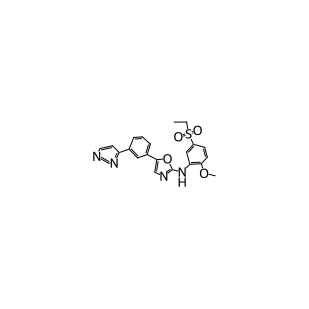 CCS(=O)(=O)c1ccc(OC)c(Nc2ncc(-c3cccc(-c4ccncn4)c3)o2)c1